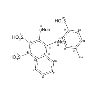 CCCCCCCCCc1c(S(=O)(=O)O)c(S(=O)(=O)O)c2ccccc2c1CCCCCCCCC.Cc1ccc(S(=O)(=O)O)cc1